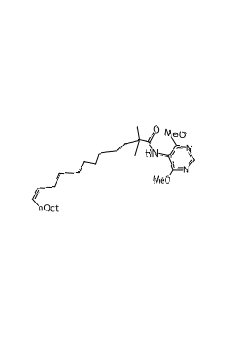 CCCCCCCC/C=C\CCCCCCCCC(C)(C)C(=O)Nc1c(OC)ncnc1OC